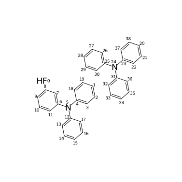 F.c1ccc(N(c2ccccc2)c2ccccc2)cc1.c1ccc(N(c2ccccc2)c2ccccc2)cc1